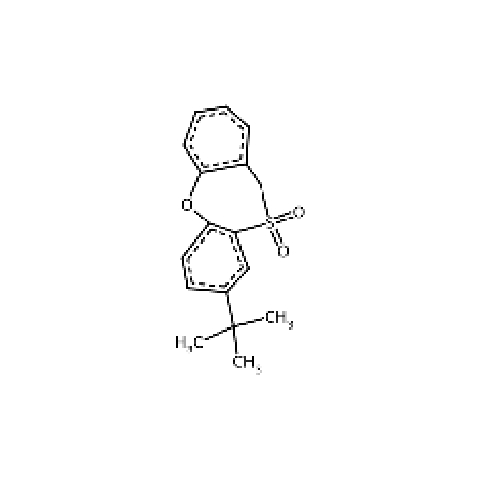 CC(C)(C)c1ccc2c(c1)S(=O)(=O)Cc1ccccc1O2